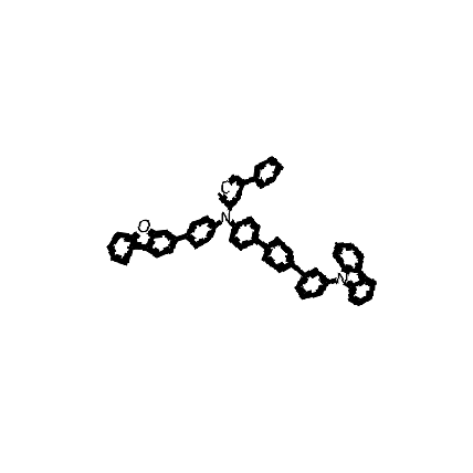 c1ccc(-c2cccc(N(c3ccc(-c4ccc(-c5cccc(-n6c7ccccc7c7ccccc76)c5)cc4)cc3)c3ccc(-c4ccc5c(c4)oc4ccccc45)cc3)c2)cc1